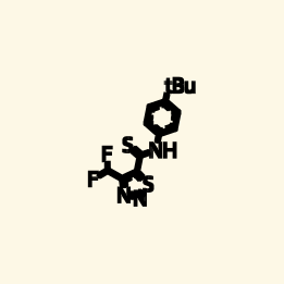 CC(C)(C)c1ccc(NC(=S)c2snnc2C(F)F)cc1